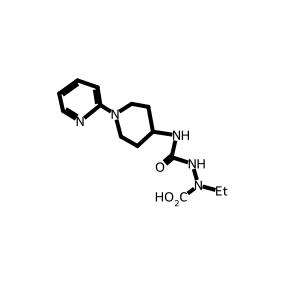 CCN(NC(=O)NC1CCN(c2ccccn2)CC1)C(=O)O